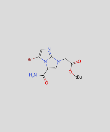 CC(C)(C)OC(=O)Cn1cc(C(N)=O)n2c(Br)cnc12